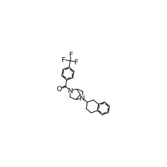 O=C(c1ccc(C(F)(F)F)cc1)N1CC2CC1CN2C1CCc2ccccc2C1